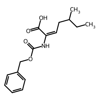 CCC(C)CC=C(NC(=O)OCc1ccccc1)C(=O)O